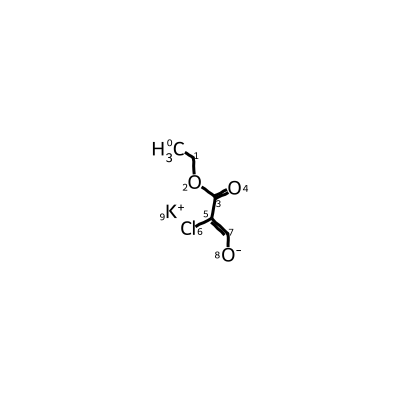 CCOC(=O)C(Cl)=C[O-].[K+]